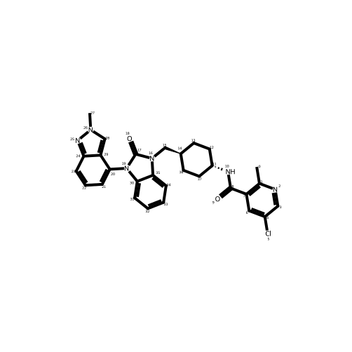 Cc1ncc(Cl)cc1C(=O)N[C@H]1CC[C@H](Cn2c(=O)n(-c3cccc4nn(C)cc34)c3ccccc32)CC1